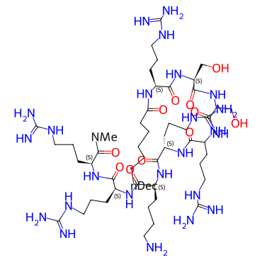 CCCCCCCCCCCCCCCC(=O)N[C@@H](CCCNC(=N)N)C(=O)N[C@@H](CO)C(=O)NC(CO)C(=O)NC(CCCNC(=N)N)C(=O)N[C@@H](CCCNC(=N)N)C(=O)N[C@@H](CCCCN)C(=O)N[C@@H](CCCNC(=N)N)C(=O)N[C@@H](CCCNC(=N)N)C(=O)NC